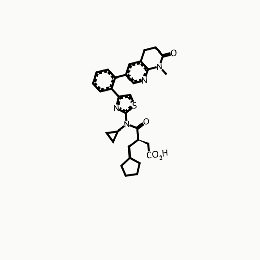 CN1C(=O)CCc2cc(-c3ccccc3-c3csc(N(C(=O)[C@@H](CC(=O)O)CC4CCCC4)C4CC4)n3)cnc21